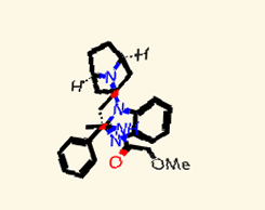 COCC(=O)N[C@@H](CCN1[C@@H]2CC[C@H]1C[C@@H](n1c(C)nc3ccccc31)C2)c1ccccc1